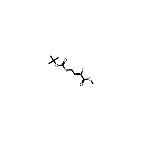 COC(=O)/C(F)=C/CNC(=O)OC(C)(C)C